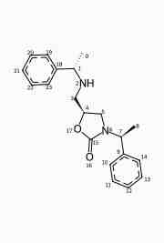 C[C@H](NC[C@H]1CN([C@@H](C)c2ccccc2)C(=O)O1)c1ccccc1